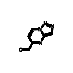 O=Cc1ccn2nncc2n1